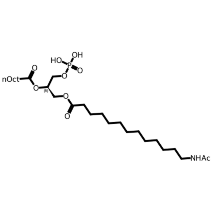 CCCCCCCCC(=O)O[C@H](COC(=O)CCCCCCCCCCCCNC(C)=O)COP(=O)(O)O